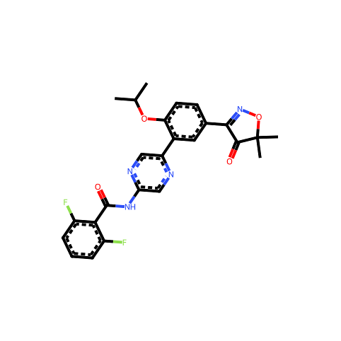 CC(C)Oc1ccc(C2=NOC(C)(C)C2=O)cc1-c1cnc(NC(=O)c2c(F)cccc2F)cn1